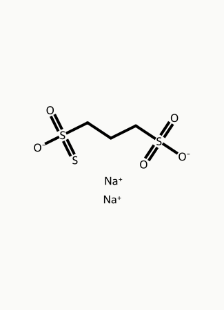 O=S(=O)([O-])CCCS(=O)([O-])=S.[Na+].[Na+]